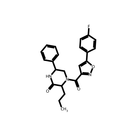 CCCC1C(=O)NC(c2ccccc2)CN1C(=O)c1cc(-c2ccc(F)cc2)on1